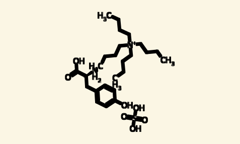 CCCC[N+](CCCC)(CCCC)CCCC.N[C@@H](Cc1ccc(O)cc1)C(=O)O.O=S(=O)(O)O